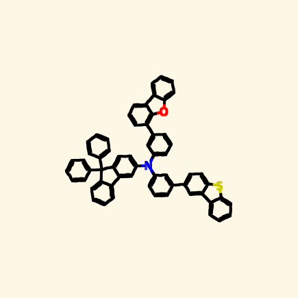 c1ccc(C2(c3ccccc3)c3ccccc3-c3cc(N(c4cccc(-c5ccc6sc7ccccc7c6c5)c4)c4cccc(-c5cccc6c5oc5ccccc56)c4)ccc32)cc1